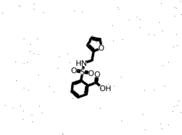 O=C(O)c1ccccc1S(=O)(=O)NCc1ccco1